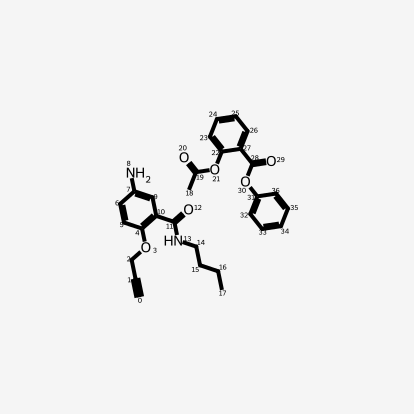 C#CCOc1ccc(N)cc1C(=O)NCCCC.CC(=O)Oc1ccccc1C(=O)Oc1ccccc1